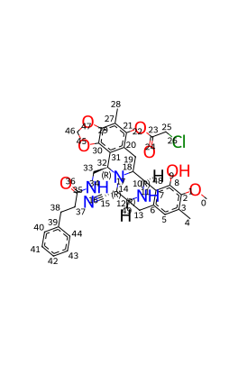 COc1c(C)cc2c(c1O)[C@H]1N[C@H](C2)[C@H](C#N)N2C1Cc1c(OC(=O)CCl)c(C)c3c(c1[C@@H]2CNC(=O)CCc1ccccc1)OCO3